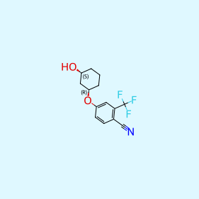 N#Cc1ccc(O[C@@H]2CCC[C@H](O)C2)cc1C(F)(F)F